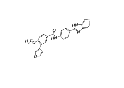 COc1ccc(C(=O)Nc2ccc(-c3nc4ccccc4[nH]3)cc2)cc1-c1ccoc1